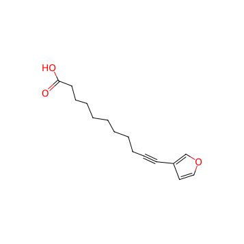 O=C(O)CCCCCCCCC#Cc1ccoc1